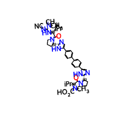 CC(C)[C@H](NC(=NC#N)N(C)C)C(=O)N1CCC[C@H]1c1ncc(-c2ccc(-c3ccc(-c4cnc([C@@H]5CCCN5C(=O)[C@H](C(C)C)N(C)C(=O)O)[nH]4)cc3)cc2)[nH]1